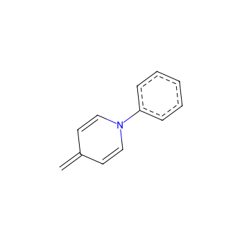 C=C1C=CN(c2ccccc2)C=C1